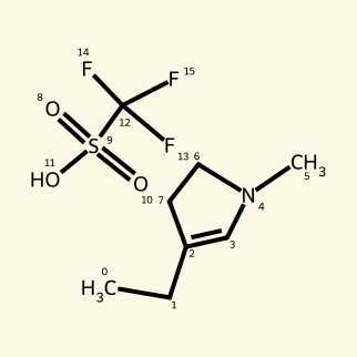 CCC1=CN(C)CC1.O=S(=O)(O)C(F)(F)F